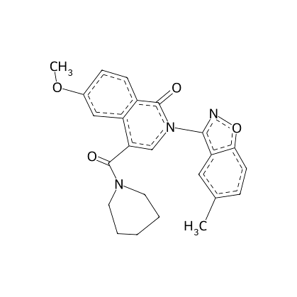 COc1ccc2c(=O)n(-c3noc4ccc(C)cc34)cc(C(=O)N3CCCCC3)c2c1